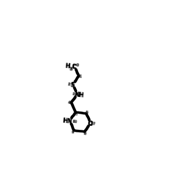 CCSNCC1COCCN1